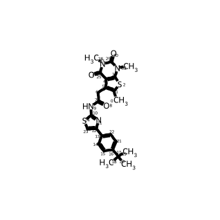 Cc1sc2c(c1CC(=O)Nc1nc(-c3ccc(C(C)(C)C)cc3)cs1)c(=O)n(C)c(=O)n2C